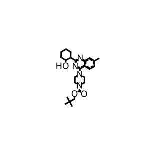 Cc1ccc2c(N3CCN(C(=O)OCC(C)(C)C)CC3)nc(C3CCCCC3O)nc2c1